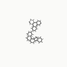 C1=Cc2c(c3ccccc3c3ccc(-c4ccc5ccc6ccc7c8ccccc8sc7c6c5c4)cc23)CC1